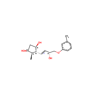 C[C@@H]1[C@@H](/C=C/[C@@H](O)COc2cccc(C(F)(F)F)c2)[C@H](O)C[C@@H]1O